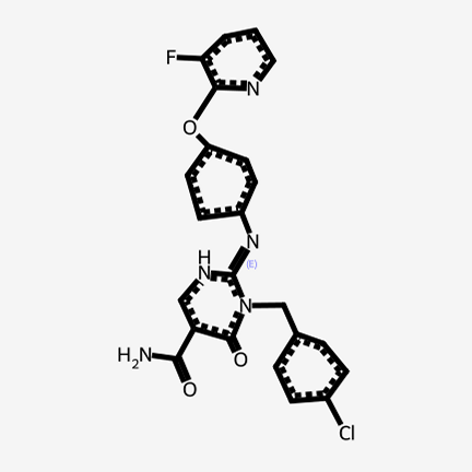 NC(=O)c1c[nH]/c(=N\c2ccc(Oc3ncccc3F)cc2)n(Cc2ccc(Cl)cc2)c1=O